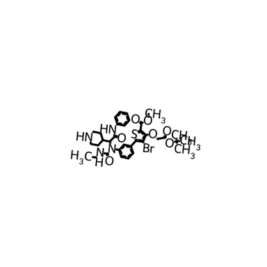 CCNC(=O)N(c1cccc(-c2sc(C(=O)OC)c(OCC(=O)OC(C)(C)C)c2Br)c1)C(C(=O)Nc1ccccc1)C1CCNCC1